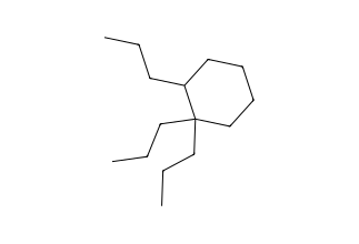 CCCC1CCCCC1(CCC)CCC